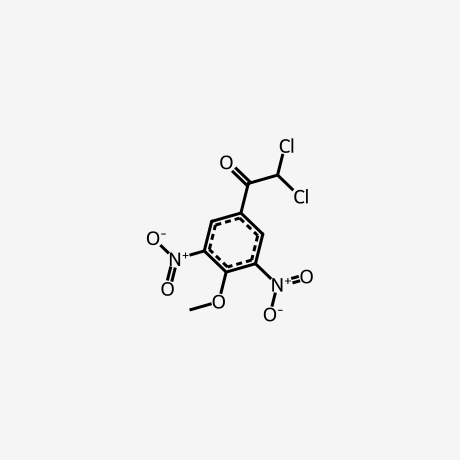 COc1c([N+](=O)[O-])cc(C(=O)C(Cl)Cl)cc1[N+](=O)[O-]